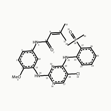 COc1ccc(NC(=O)C=C(C)C)cc1Nc1ncc(Cl)c(Nc2ccccc2P(C)(C)=O)n1